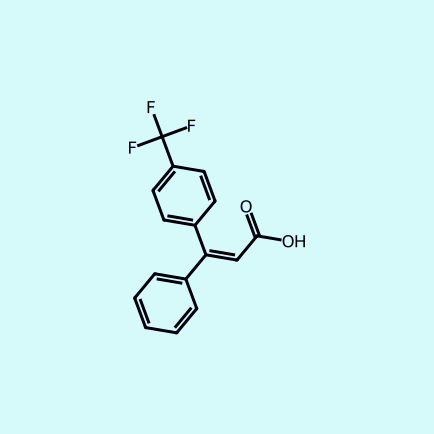 O=C(O)/C=C(/c1ccccc1)c1ccc(C(F)(F)F)cc1